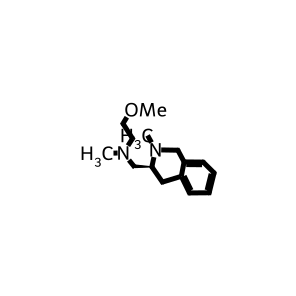 COCCN(C)C[C@@H]1Cc2ccccc2CN1C